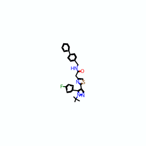 CC(C)(C)n1ncc(-c2nc(CC(=O)NCc3ccc(-c4ccccc4)cc3)cs2)c1-c1ccc(F)cc1